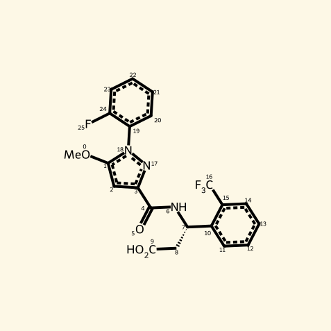 COc1cc(C(=O)N[C@@H](CC(=O)O)c2ccccc2C(F)(F)F)nn1-c1ccccc1F